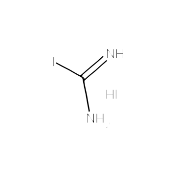 I.N=C(N)I